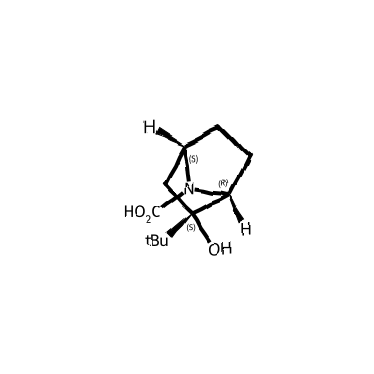 CC(C)(C)[C@@]1(O)C[C@@H]2CC[C@H]1N2C(=O)O